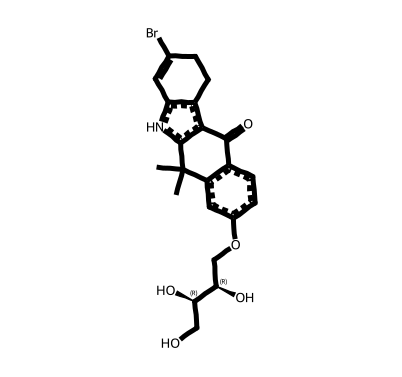 CC1(C)c2cc(OC[C@@H](O)[C@H](O)CO)ccc2C(=O)c2c1[nH]c1c2CCC(Br)=C1